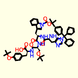 CC(C)(C)OC[C@H](NC(=O)[C@H](Cc1cn(C(=O)OC(C)(C)C)c2ccccc12)NC(=O)[C@@H](N)Cc1cn(C(c2ccccc2)(c2ccccc2)c2ccccc2)cn1)C(=O)N[C@@H](Cc1ccc(OC(C)(C)C)cc1)C(=O)O